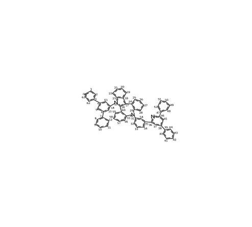 c1ccc(-c2cc(-c3ccccc3)cc(-n3c4c(c5ccccc53)-c3ccccc3N(c3cccc(-c5cc(-c6ccccc6)cc(-c6ccccc6)n5)c3)c3ccccc3-4)c2)cc1